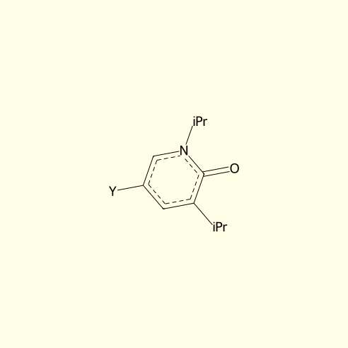 CC(C)c1c[c]([Y])cn(C(C)C)c1=O